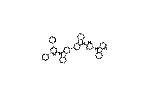 c1ccc(-c2cc(-c3ccccc3)nc(-n3c4ccccc4c4cc(-c5ccc6c(c5)c5ccccc5n6-c5ncc(-n6c7ccccc7c7ncccc76)cn5)ccc43)c2)cc1